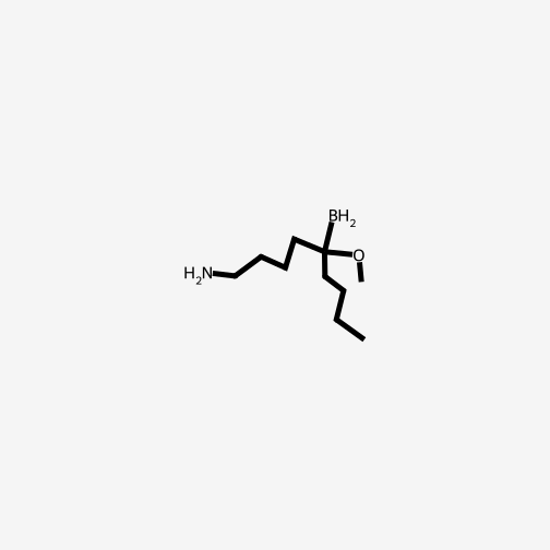 BC(CCCC)(CCCCN)OC